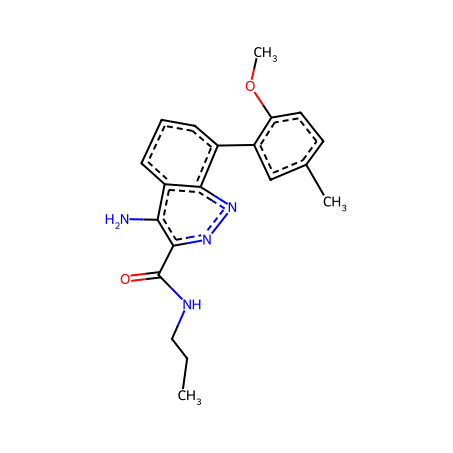 CCCNC(=O)c1nnc2c(-c3cc(C)ccc3OC)cccc2c1N